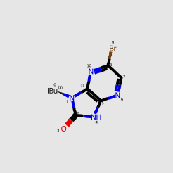 CC[C@H](C)n1c(=O)[nH]c2ncc(Br)nc21